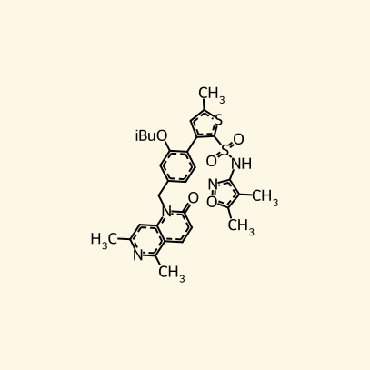 Cc1cc2c(ccc(=O)n2Cc2ccc(-c3cc(C)sc3S(=O)(=O)Nc3noc(C)c3C)c(OCC(C)C)c2)c(C)n1